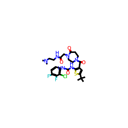 CN(C)CCNC(=O)CN1CCN(C(=O)c2cc(C(C)(C)C)sc2NC(=O)Nc2ccc(F)c(F)c2Cl)CCC1=O